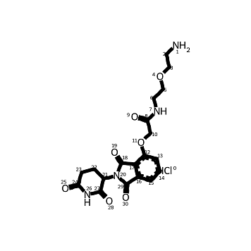 Cl.NCCOCCNC(=O)COc1cccc2c1C(=O)N(C1CCC(=O)NC1=O)C2=O